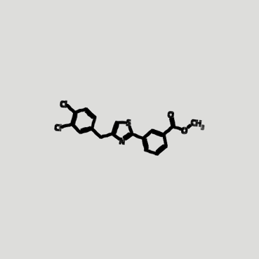 COC(=O)c1cccc(-c2nc(Cc3ccc(Cl)c(Cl)c3)cs2)c1